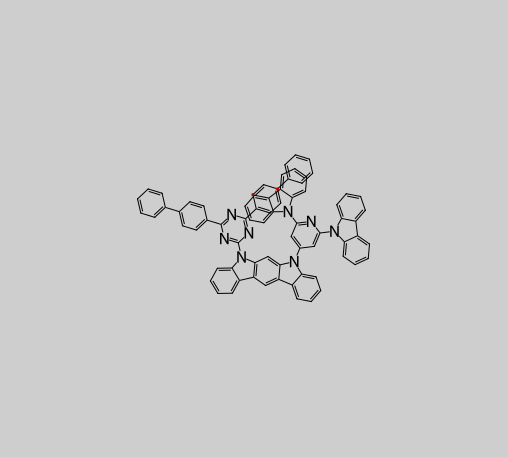 c1ccc(-c2ccc(-c3nc(-c4ccc(-c5ccccc5)cc4)nc(-n4c5ccccc5c5cc6c7ccccc7n(-c7cc(-n8c9ccccc9c9ccccc98)nc(-n8c9ccccc9c9ccccc98)c7)c6cc54)n3)cc2)cc1